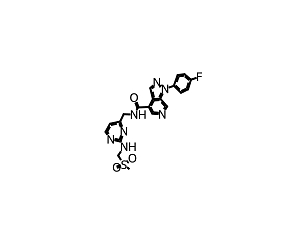 CS(=O)(=O)CNc1nccc(CNC(=O)c2cncc3c2cnn3-c2ccc(F)cc2)n1